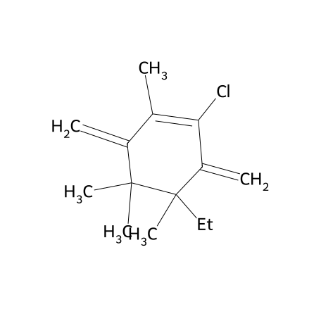 C=C1C(C)=C(Cl)C(=C)C(C)(CC)C1(C)C